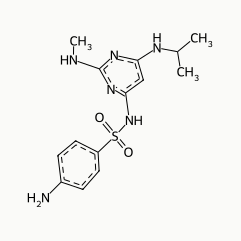 CNc1nc(NC(C)C)cc(NS(=O)(=O)c2ccc(N)cc2)n1